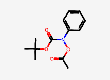 CC(=O)ON(C(=O)OC(C)(C)C)c1ccccc1